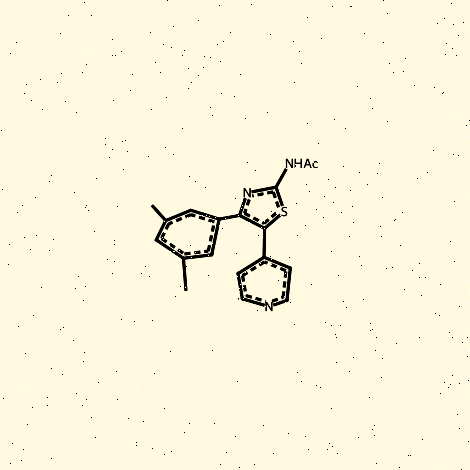 CC(=O)Nc1nc(-c2cc(C)cc(C)c2)c(-c2c[c]ncc2)s1